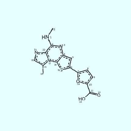 CNc1nc2cc(-c3ccc(C(=O)O)o3)sc2n2c(C)cnc12